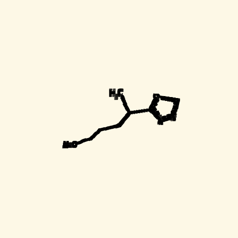 COCCCC(C)c1nnco1